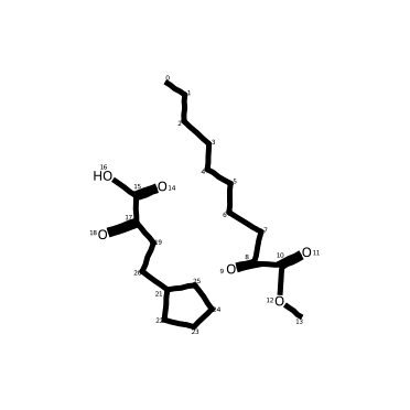 CCCCCCCCC(=O)C(=O)OC.O=C(O)C(=O)CCC1CCCC1